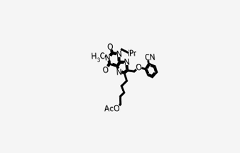 CC(=O)OCCCCCc1nc2c(=O)n(C)c(=O)n(CC(C)C)c2nc1COc1ccccc1C#N